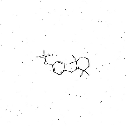 CC1(C)CCCC(C)(C)N1Cc1ccc(OS(C)(=O)=O)cc1